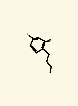 CCCCc1ccc(F)cc1F